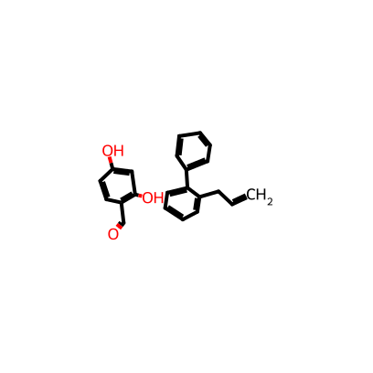 C=CCc1ccccc1-c1ccccc1.O=Cc1ccc(O)cc1O